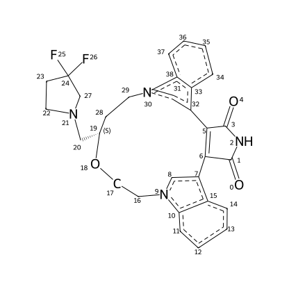 O=C1NC(=O)C2=C1c1cn(c3ccccc13)CCO[C@H](CN1CCC(F)(F)C1)CCn1cc2c2ccccc21